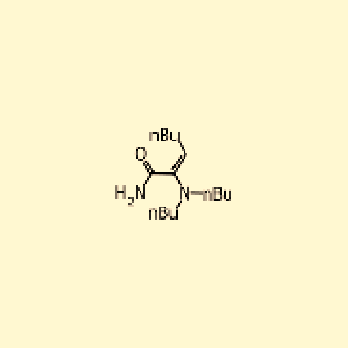 CCCC/C=C(\C(N)=O)N(CCCC)CCCC